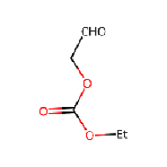 CCOC(=O)OCC=O